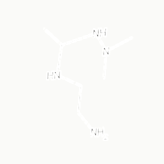 CC(NCCN)NN(C)C